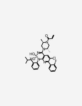 C=CC(=O)N1C[C@H](C)N(C2=NS(O)(O)N(c3ccccc3CC(C)C)c3nc(-c4ccccc4F)c(Cl)cc32)C[C@H]1C